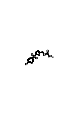 NC(=O)OCc1ccc(S(=O)(=O)c2ccc(Cl)cc2)s1